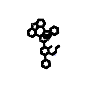 C=C/C=C\c1c(-c2ccccc2)ccc(-c2nc(-c3ccccc3)nc(-c3cccc4oc5cccc(C6=CC=CCC6)c5c34)n2)c1C